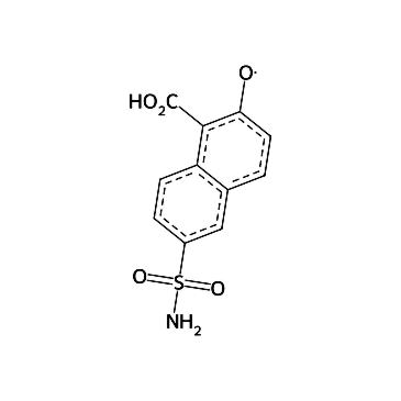 NS(=O)(=O)c1ccc2c(C(=O)O)c([O])ccc2c1